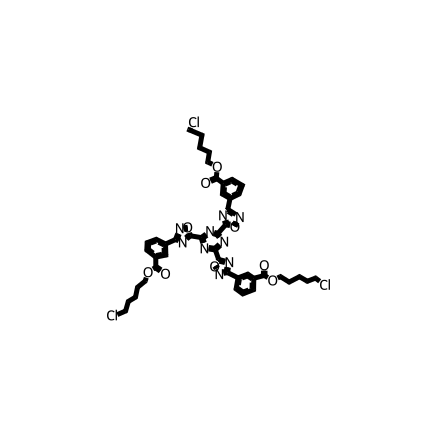 O=C(OCCCCCCl)c1cccc(-c2noc(-c3nc(-c4nc(-c5cccc(C(=O)OCCCCCCl)c5)no4)nc(-c4nc(-c5cccc(C(=O)OCCCCCCl)c5)no4)n3)n2)c1